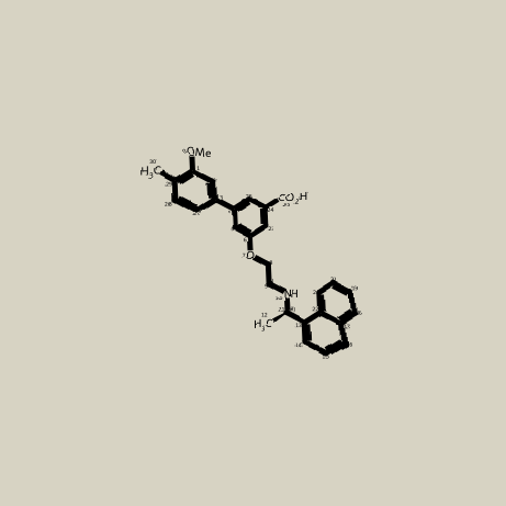 COc1cc(-c2cc(OCCN[C@H](C)c3cccc4ccccc34)cc(C(=O)O)c2)ccc1C